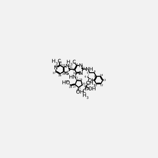 Cc1nc(N[C@@H](CO)Cc2ccccc2)nc(N[C@@H]2C[C@H](C(C)(C)O)[C@@H](O)/C2=C/O)c1-c1nc2c(C)nccc2s1